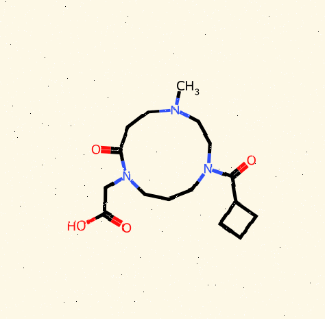 CN1CCC(=O)N(CC(=O)O)CCCN(C(=O)C2CCC2)CC1